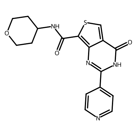 O=C(NC1CCOCC1)c1scc2c(=O)[nH]c(-c3ccncc3)nc12